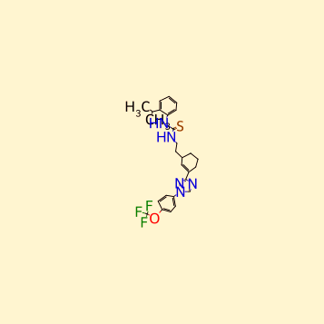 CC(C)c1ccccc1NC(=S)NCCC1C=C(c2ncn(-c3ccc(OC(F)(F)F)cc3)n2)CCC1